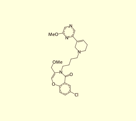 COCC1=COc2ccc(Cl)cc2C(=O)N1CCCCN1CCC=C(c2cncc(OC)n2)C1